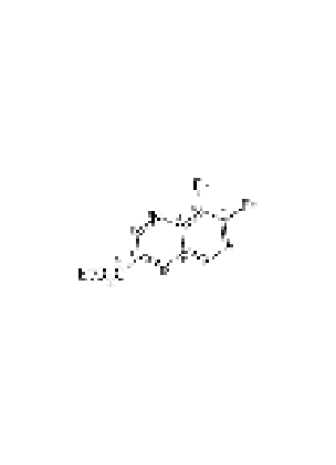 CCOC(=O)c1cnc2c(F)c(F)ccc2c1